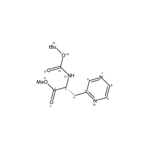 COC(=O)[C@@H](Cc1cnccn1)NC(=O)OC(C)(C)C